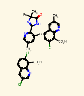 Cc1cnc(C2=NC(C)(C(C)C)C(=O)N2)c(C(=O)O)c1.Cc1cnc2c(C(=O)O)c(Cl)ccc2c1.O=C(O)c1c(Cl)ccc2cc(Cl)cnc12